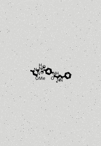 COc1cc(C)nc(NS(=O)(=O)c2ccc(NC(=O)c3cc(-c4ccccc4)nn3C)cc2)n1